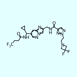 O=C(CCC(F)(F)F)NC(c1cnn2cc(CNC(=O)c3cnn(CCN4CC(F)(F)C4)n3)nc2c1)C1CC1